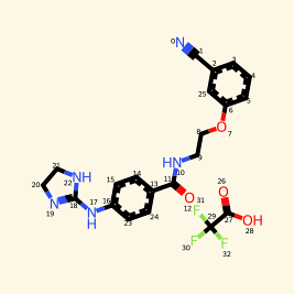 N#Cc1cccc(OCCNC(=O)c2ccc(NC3=NCCN3)cc2)c1.O=C(O)C(F)(F)F